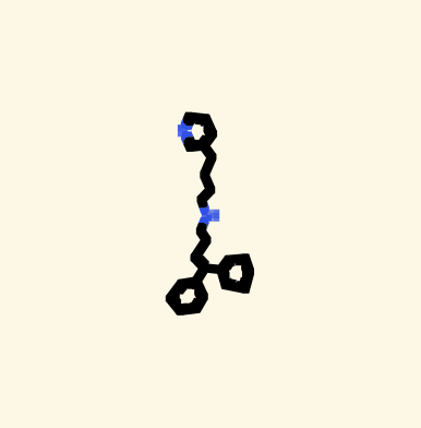 C(CCNCCCCc1cccnc1)=C(c1ccccc1)c1ccccc1